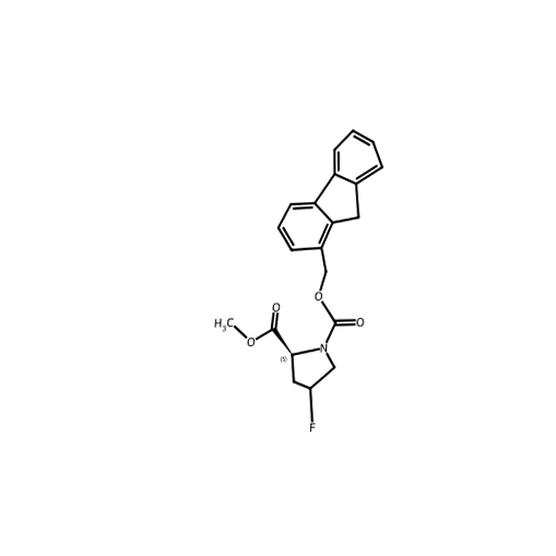 COC(=O)[C@@H]1CC(F)CN1C(=O)OCc1cccc2c1Cc1ccccc1-2